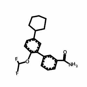 NC(=O)c1cccc(-c2cc(C3CCCCC3)ccc2OC(F)F)c1